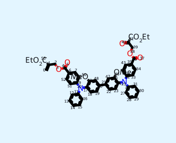 C=C(COC(=O)c1ccc(N(c2ccccc2)c2ccc(-c3ccc(N(c4ccccc4)c4ccc(C(=O)OCC(=O)C(=O)OCC)cc4)c(OC)c3)cc2OC)cc1)C(=O)OCC